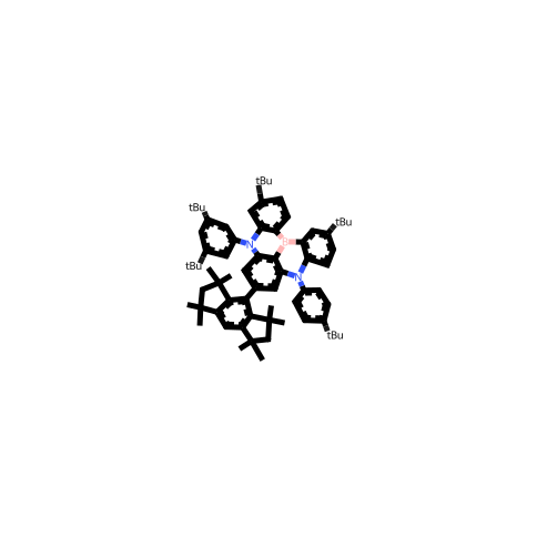 CC(C)(C)c1ccc(N2c3ccc(C(C)(C)C)cc3B3c4ccc(C(C)(C)C)cc4N(c4cc(C(C)(C)C)cc(C(C)(C)C)c4)c4cc(-c5c6c(cc7c5C(C)(C)CC7(C)C)C(C)(C)CC6(C)C)cc2c43)cc1